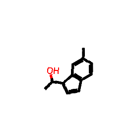 Cc1ccc2c(c1)C(C(C)O)C=C2